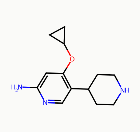 Nc1cc(OC2CC2)c(C2CCNCC2)cn1